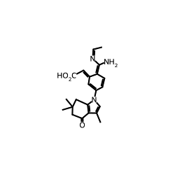 C\C=N/C(N)=c1/ccc(-n2cc(C)c3c2CC(C)(C)CC3=O)c/c1=C\C(=O)O